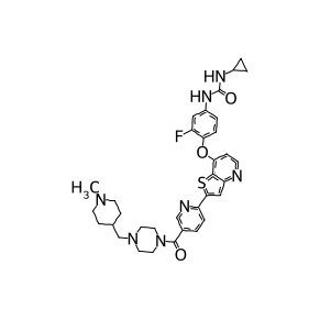 CN1CCC(CN2CCN(C(=O)c3ccc(-c4cc5nccc(Oc6ccc(NC(=O)NC7CC7)cc6F)c5s4)nc3)CC2)CC1